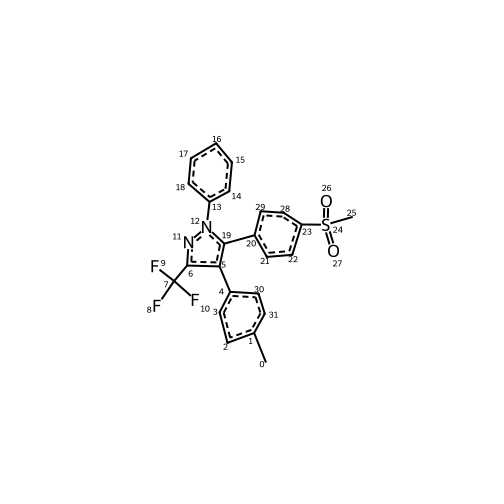 Cc1ccc(-c2c(C(F)(F)F)nn(-c3ccccc3)c2-c2ccc(S(C)(=O)=O)cc2)cc1